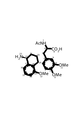 COc1ccc(CC(NC(C)=O)C(=O)O)cc1OC.COc1cccc2c1CCC[C@@H]2N